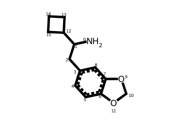 NC(Cc1ccc2c(c1)OCO2)C1CCC1